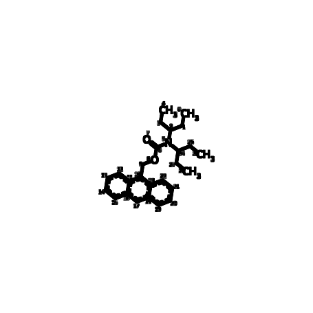 CCC(CC)N(C(=O)OCc1c2ccccc2cc2ccccc12)C(CC)CC